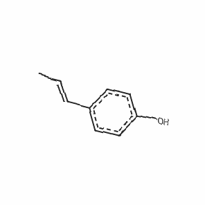 C/C=[C]/c1ccc(O)cc1